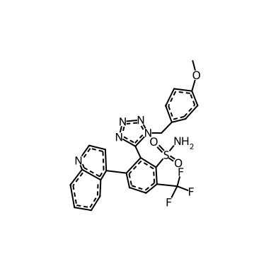 COc1ccc(Cn2nnnc2-c2c(-c3ccnc4ccccc34)ccc(C(F)(F)F)c2S(N)(=O)=O)cc1